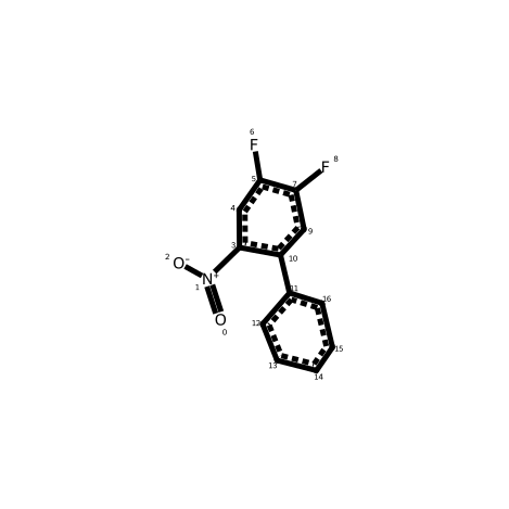 O=[N+]([O-])c1cc(F)c(F)cc1-c1ccccc1